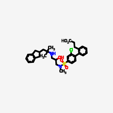 CN(CC(O)CNC(C)(C)CC1Cc2ccccc2C1)S(=O)(=O)c1ccc(-c2ccccc2CCC(=O)O)c(Cl)c1